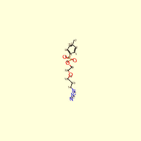 Cc1ccc(S(=O)(=O)OCCOCCCN=[N+]=[N-])cc1